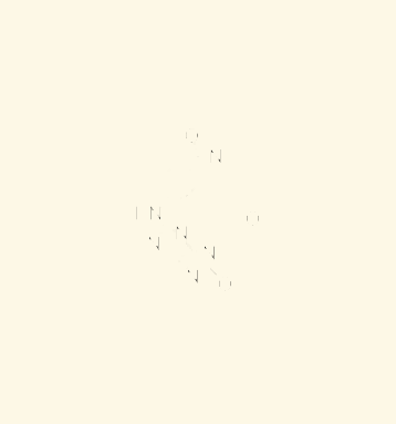 Cc1cc(C(=O)N2CCCC2)ccc1Nc1ncc2c(n1)n(C1CCOCC1)c(=O)n2C